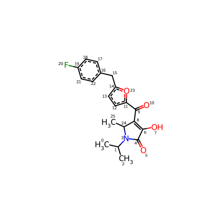 CC(C)N1C(=O)C(O)=C(C(=O)c2ccc(Cc3ccc(F)cc3)o2)C1C